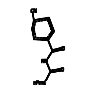 CCCCCC(=O)NC(=O)c1ccc(C#N)cc1